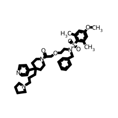 COc1cc(C)c(S(=O)(=O)N(CCOCC(=O)N2CCC(CCCN3CCCC3)(c3ccncc3)CC2)Cc2ccccc2)c(C)c1